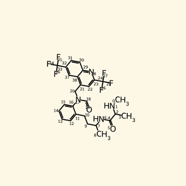 CNC(C)C(=O)NC(C)CCc1ccccc1N(C=O)Cc1cc(C(F)(F)F)nc2ccc(C(F)(F)F)cc12